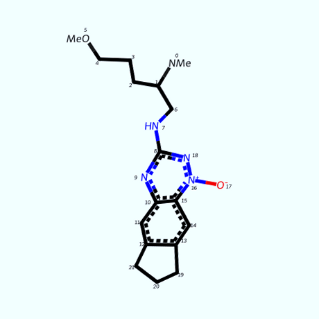 CNC(CCCOC)CNc1nc2cc3c(cc2[n+]([O-])n1)CCC3